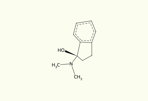 CN(C)[C@@]1(O)CCc2ccccc21